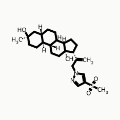 C=C(Cn1cc(S(C)(=O)=O)cn1)[C@H]1CC[C@H]2[C@@H]3CC[C@H]4C[C@](C)(O)CC[C@@H]4[C@H]3CC[C@]12C